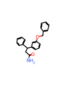 NC(=O)CC(c1ccccc1)c1cccc(OCc2ccccc2)c1